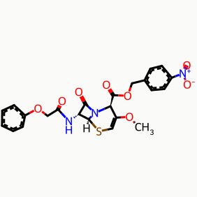 COC1=CS[C@H]2[C@H](NC(=O)COc3ccccc3)C(=O)N2[C@H]1C(=O)OCc1ccc([N+](=O)[O-])cc1